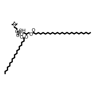 CCCCCCCCCCCCCCCCCCCCCCCCC(=O)OCC(COP(=O)(O)OCC[N+](C)(C)C)OC(=O)CCCCCCCCCCCCCCCCC